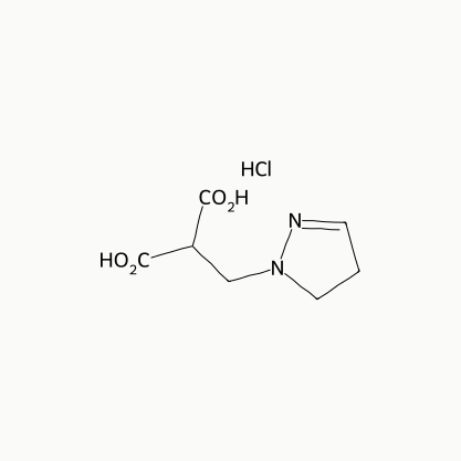 Cl.O=C(O)C(CN1CCC=N1)C(=O)O